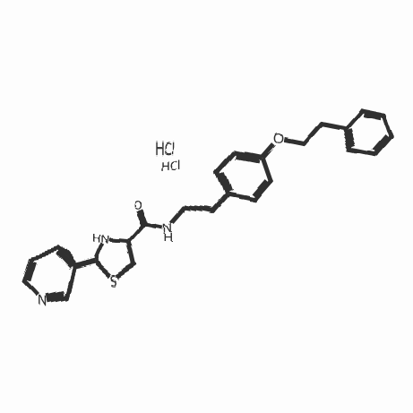 Cl.Cl.O=C(NCCc1ccc(OCCc2ccccc2)cc1)C1CSC(c2cccnc2)N1